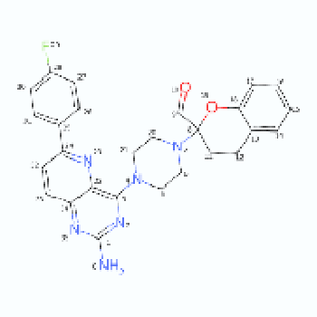 Nc1nc(N2CCN(C3(C=O)CCc4ccccc4O3)CC2)c2nc(-c3ccc(F)cc3)ccc2n1